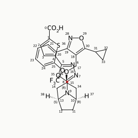 O=C(O)c1ccc(-c2nnc(N3[C@@H]4CC[C@H]3C[C@@H](OCc3c(-c5ccccc5OC(F)(F)F)noc3C3CC3)C4)o2)s1